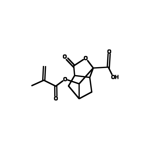 C=C(C)C(=O)OC1C2CC3C(=O)OC1(C(=O)O)C3C2